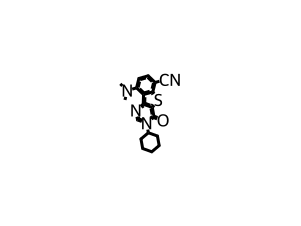 CN(C)c1ccc(C#N)c2sc3c(=O)n(C4CCCCC4)cnc3c12